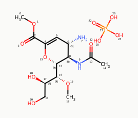 COC(=O)C1=C[C@H](N)[C@@H](NC(C)=O)[C@H]([C@H](OC)[C@H](O)CO)O1.O=P(O)(O)O